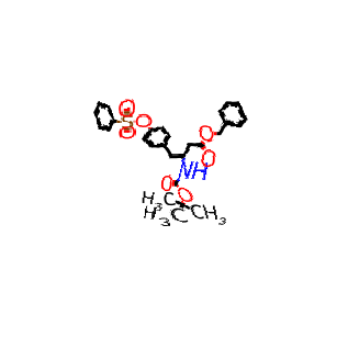 CC(C)(C)OC(=O)NC(CC(=O)OCc1ccccc1)Cc1ccc(OS(=O)(=O)c2ccccc2)cc1